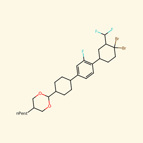 CCCCCC1COC(C2CCC(c3ccc(C4CCC(Br)(Br)C(C(F)F)C4)c(F)c3)CC2)OC1